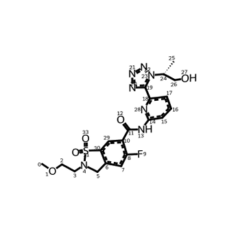 COCCN1Cc2cc(F)c(C(=O)Nc3cccc(-c4nnnn4[C@H](C)CO)n3)cc2S1(=O)=O